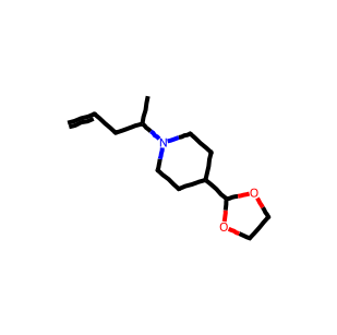 C=CCC(C)N1CCC(C2OCCO2)CC1